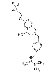 C=C(NCc1ccc(CN2Cc3ccc(OCC4CC4(F)F)cc3C(O)C2)cc1)N(C)C